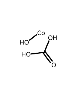 O=C(O)O.[OH][Co]